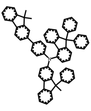 CC1(C)c2ccccc2-c2ccc(-c3ccc(N(c4ccc5c(c4)C(C)(c4ccccc4)c4ccccc4-5)c4cccc5c4-c4ccccc4C5(c4ccccc4)c4ccccc4)cc3)cc21